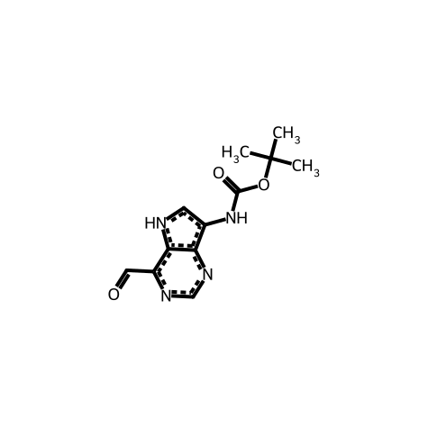 CC(C)(C)OC(=O)Nc1c[nH]c2c(C=O)ncnc12